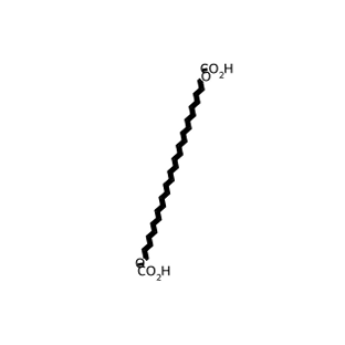 O=C(O)OCCCCCCCCCCCCCCCCCCCCCCCCCCCCOC(=O)O